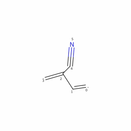 [CH]=CC(=[CH])C#N